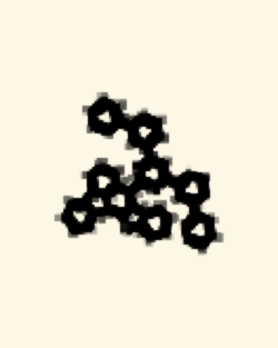 c1ccc(-c2cccc(-c3cc(-c4cccc(-c5ccccc5)c4)nc(-c4c5cccc6c5c(c5oc7ccccc7c45)-c4ccccc4-6)n3)c2)cc1